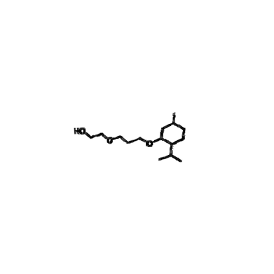 CC1CCC(C(C)C)C(OCCCOCCO)C1